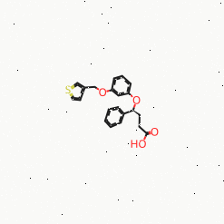 O=C(O)CC[C@H](Oc1cccc(OCc2ccsc2)c1)c1ccccc1